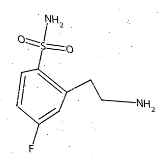 NCCc1cc(F)ccc1S(N)(=O)=O